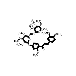 COc1ccc(C=CC(=O)c2ccc(O[C@@H]3O[C@H](CO[C@@H]4O[C@@H](C)[C@H](OC)[C@@H](OC)[C@H]4OC)[C@@H](OC)[C@H](OC)[C@H]3OC)cc2OC)cc1OC